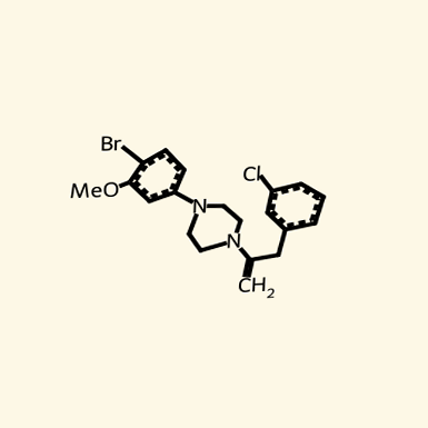 C=C(Cc1cccc(Cl)c1)N1CCN(c2ccc(Br)c(OC)c2)CC1